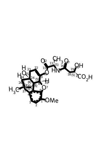 COc1ccc2c3c1O[C@@H]1C(OC(=O)[C@H](C)NC(=O)C[C@H](O)C(=O)O)=CC[C@]4(O)[C@H](C2)N(C)CC[C@@]314